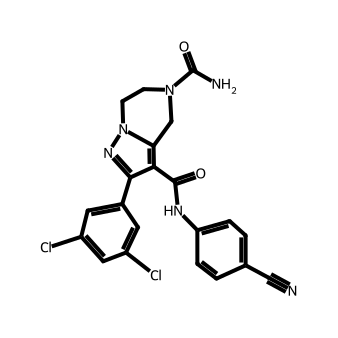 N#Cc1ccc(NC(=O)c2c(-c3cc(Cl)cc(Cl)c3)nn3c2CN(C(N)=O)CC3)cc1